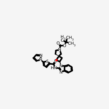 CC(C)(C)OC(=O)N1CC[C@]2(C1)C[C@H](n1c(NC(=O)c3ccc(-n4cccn4)s3)nc3ccccc31)C2